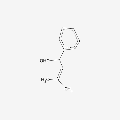 CC(C)=CC(C=O)c1ccccc1